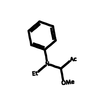 CCN(c1ccccc1)C(OC)C(C)=O